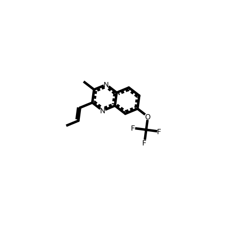 C/C=C/c1nc2cc(OC(F)(F)F)ccc2nc1C